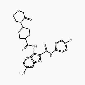 Nc1cnc2c(NC(=O)C3CCC(N4CCOCC4=O)CC3)c(C(=O)Nc3ccc(Cl)cn3)oc2c1